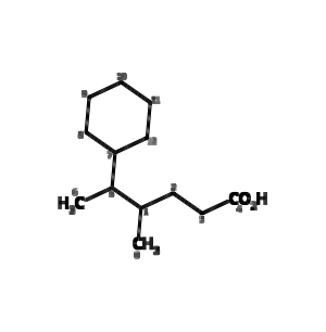 CC(CCC(=O)O)C(C)C1CCCCC1